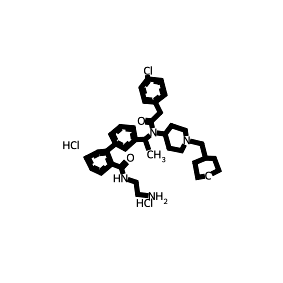 CC(c1cccc(-c2ccccc2C(=O)NCCN)c1)N(C(=O)Cc1ccc(Cl)cc1)C1CCN(CC2CCCCC2)CC1.Cl.Cl